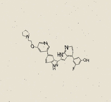 Oc1cc(F)cc(-c2ccnc3[nH]c(-c4n[nH]c5ccc(-c6cncc(OCCN7CCCC7)c6)cc45)cc23)c1